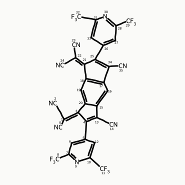 N#CC(C#N)=C1C(c2cc(C(F)(F)F)nc(C(F)(F)F)c2)=C(C#N)c2cc3c(cc21)C(=C(C#N)C#N)C(c1cc(C(F)(F)F)nc(C(F)(F)F)c1)=C3C#N